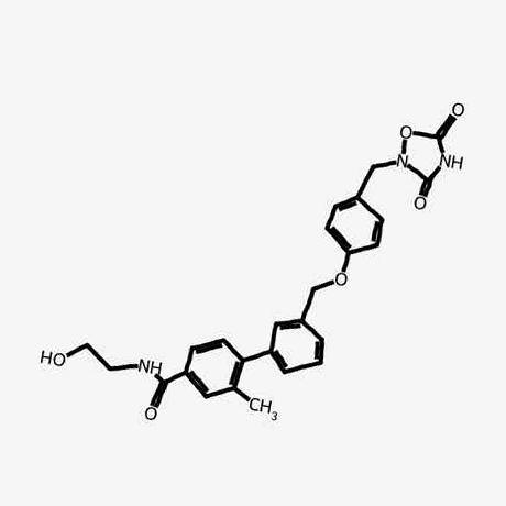 Cc1cc(C(=O)NCCO)ccc1-c1cccc(COc2ccc(Cn3oc(=O)[nH]c3=O)cc2)c1